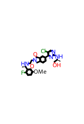 COc1ccc(F)c([C@@H](C)NC(=O)CN2Cc3ccc(-c4nc(N[C@@H](C)CO)ncc4Cl)cc3C2=O)c1